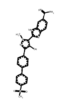 Cn1nc(-c2ccc(-c3ccc(S(C)(=O)=O)cc3)cc2)c(O)c1-c1nc2ccc(C(=N)N)cc2[nH]1